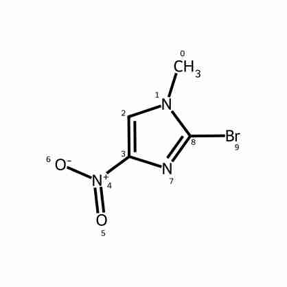 Cn1cc([N+](=O)[O-])nc1Br